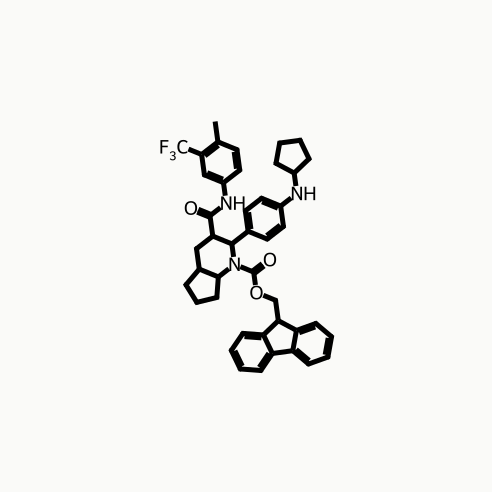 Cc1ccc(NC(=O)C2CC3CCCC3N(C(=O)OCC3c4ccccc4-c4ccccc43)C2c2ccc(NC3CCCC3)cc2)cc1C(F)(F)F